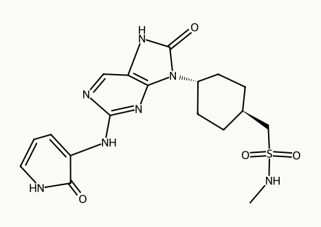 CNS(=O)(=O)C[C@H]1CC[C@H](n2c(=O)[nH]c3cnc(Nc4ccc[nH]c4=O)nc32)CC1